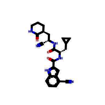 N#Cc1cccc2[nH]c(C(=O)N[C@@H](CC3CC3)C(=O)N[C@H](C#N)C[C@@H]3CCCNC3=O)cc12